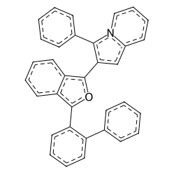 c1ccc(-c2ccccc2-c2oc(-c3cc4ccccn4c3-c3ccccc3)c3ccccc23)cc1